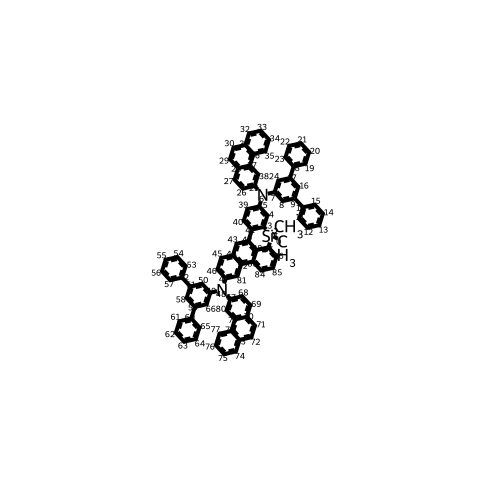 C[Si]1(C)c2cc(N(c3cc(-c4ccccc4)cc(-c4ccccc4)c3)c3ccc4ccc5ccccc5c4c3)ccc2-c2cc3ccc(N(c4cc(-c5ccccc5)cc(-c5ccccc5)c4)c4ccc5ccc6ccccc6c5c4)cc3c3cccc1c23